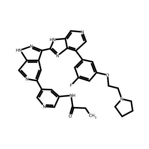 CCC(=O)Nc1cncc(-c2cc3c(-c4nc5c(-c6cc(F)cc(OCCN7CCCC7)c6)cncc5[nH]4)n[nH]c3cn2)c1